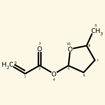 C=CC(=O)OC1CCC(C)O1